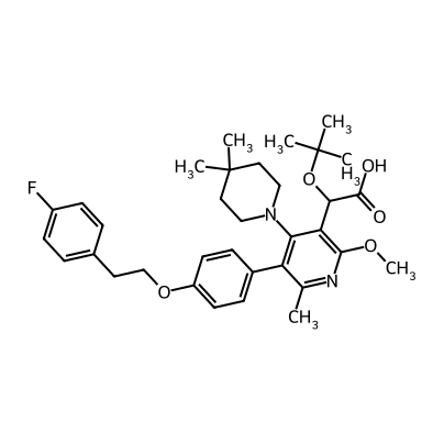 COc1nc(C)c(-c2ccc(OCCc3ccc(F)cc3)cc2)c(N2CCC(C)(C)CC2)c1C(OC(C)(C)C)C(=O)O